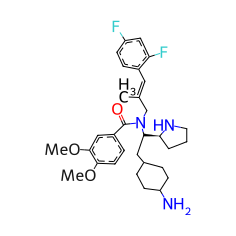 COc1ccc(C(=O)N(C/C(C)=C/c2ccc(F)cc2F)C(CC2CCC(N)CC2)[C@@H]2CCCN2)cc1OC